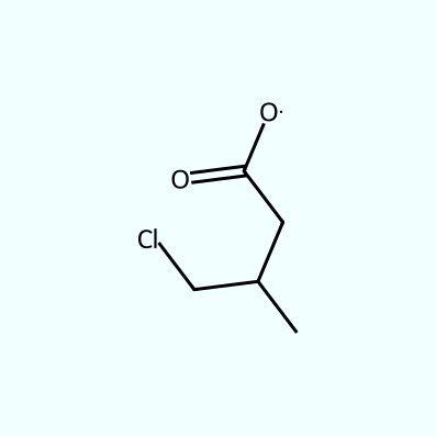 CC(CCl)CC([O])=O